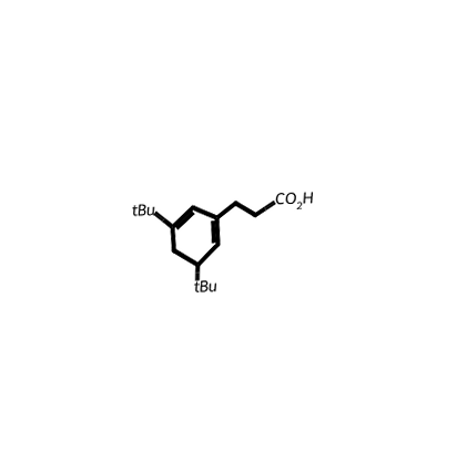 CC(C)(C)C1=CC(CCC(=O)O)=CC(C(C)(C)C)C1